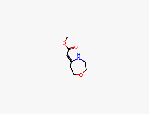 COC(=O)/C=C1/CCOCCN1